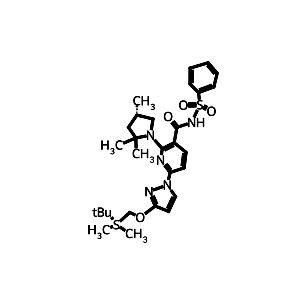 C[C@@H]1CN(c2nc(-n3ccc(OCS(C)(C)C(C)(C)C)n3)ccc2C(=O)NS(=O)(=O)c2ccccc2)C(C)(C)C1